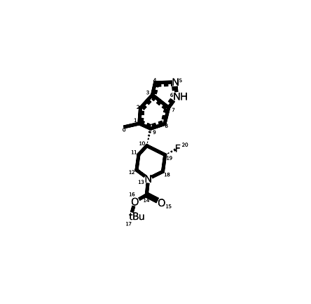 Cc1cc2cn[nH]c2cc1[C@H]1CCN(C(=O)OC(C)(C)C)C[C@H]1F